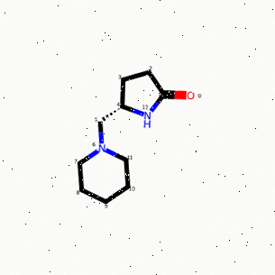 O=C1CC[C@@H](CN2CCCCC2)N1